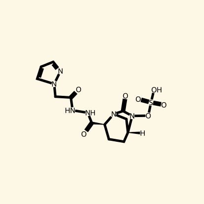 O=C(Cn1cccn1)NNC(=O)[C@@H]1CC[C@@H]2CN1C(=O)N2OS(=O)(=O)O